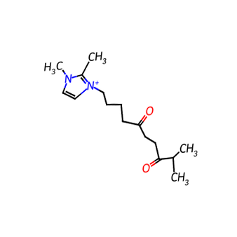 Cc1n(C)cc[n+]1CCCCC(=O)CCC(=O)C(C)C